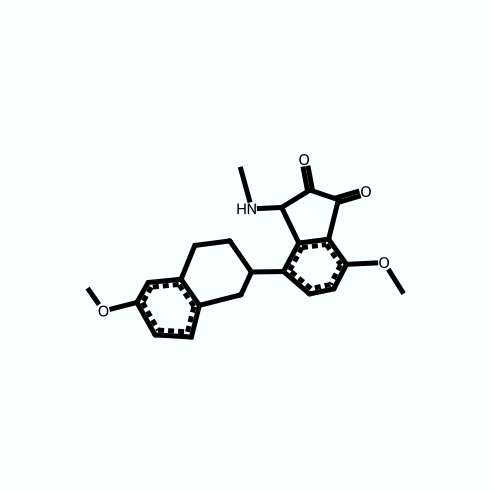 CNC1C(=O)C(=O)c2c(OC)ccc(C3CCc4cc(OC)ccc4C3)c21